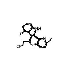 Fc1cccc2[nH]c3c4nc(Cl)ccc4nc(CCCl)c3c12